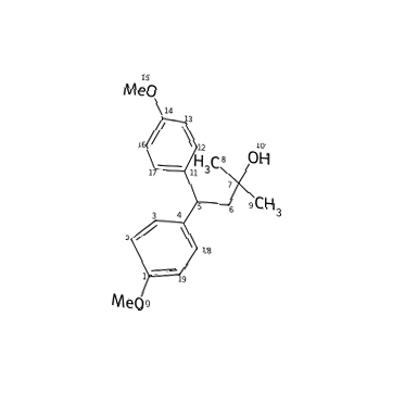 COc1ccc(C(CC(C)(C)O)c2ccc(OC)cc2)cc1